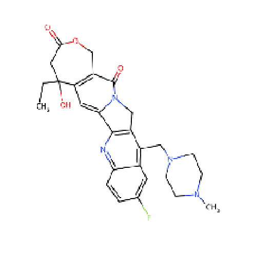 CCC1(O)CC(=O)OCc2c1cc1n(c2=O)Cc2c-1nc1ccc(F)cc1c2CN1CCN(C)CC1